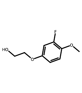 COc1ccc(OCCO)cc1F